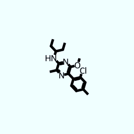 CCC(CC)Nc1nc(OC)c(-c2ccc(C)cc2Cl)nc1C